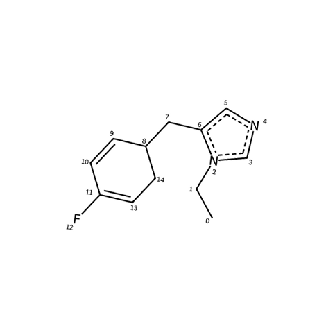 CCn1cncc1CC1C=CC(F)=CC1